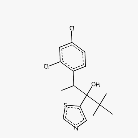 CC(c1ccc(Cl)cc1Cl)C(O)(c1cncs1)C(C)(C)C